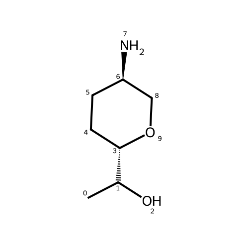 CC(O)[C@@H]1CC[C@@H](N)CO1